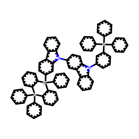 c1ccc([Si](c2ccccc2)(c2ccccc2)c2cccc(-n3c4ccccc4c4cc(-n5c6ccccc6c6ccc([Si]7(c8ccccc8)c8ccccc8[Si](c8ccccc8)(c8ccccc8)c8ccccc87)cc65)ccc43)c2)cc1